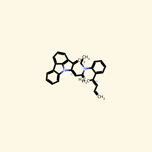 C=C/C=C(\C)c1ccccc1N(CC)C(=C)/C=c1\c(=C)c2cccc3c4ccccc4n1c23